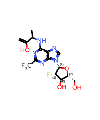 C=C(O)C(C)Nc1nc(C(F)(F)F)nc2c1ncn2[C@@H]1O[C@H](CO)[C@@H](O)[C@@H]1F